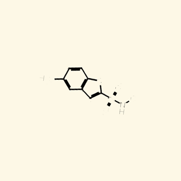 Cc1ccc2sc(S(=O)(=O)NO)cc2c1